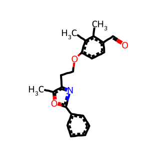 Cc1oc(-c2ccccc2)nc1CCOc1ccc(C=O)c(C)c1C